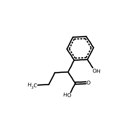 CCCC(C(=O)O)c1ccccc1O